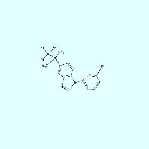 [2H]C([2H])([2H])C(C)(C)c1ccc2c(c1)ncn2-c1cccc(Br)c1